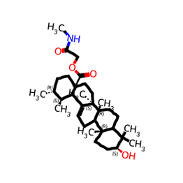 CNC(=O)COC(=O)[C@]12CC[C@@H](C)[C@H](C)C1C1=CCC3[C@@]4(C)CC[C@H](O)C(C)(C)C4CC[C@@]3(C)[C@]1(C)CC2